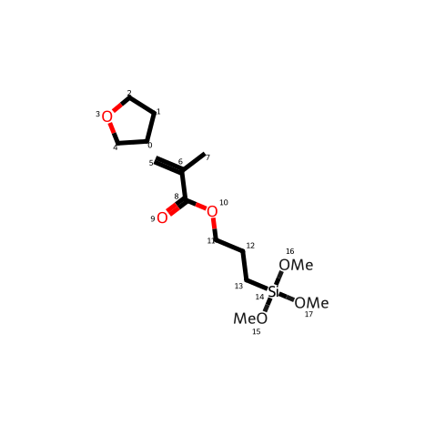 C1CCOC1.C=C(C)C(=O)OCCC[Si](OC)(OC)OC